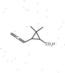 C=C=CC1C(C(=O)O)C1(C)C